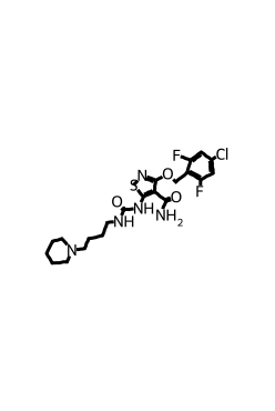 NC(=O)c1c(OCc2c(F)cc(Cl)cc2F)nsc1NC(=O)NCCCCN1CCCCC1